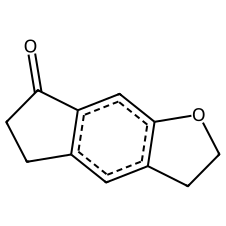 O=C1CCc2cc3c(cc21)OCC3